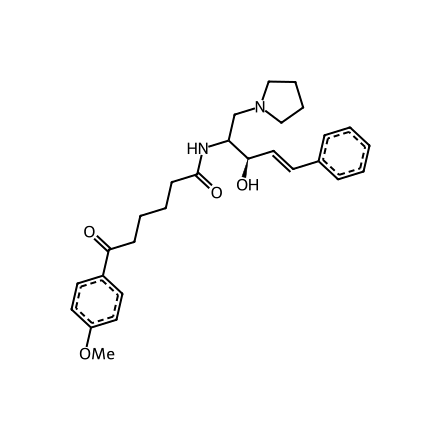 COc1ccc(C(=O)CCCCC(=O)NC(CN2CCCC2)[C@H](O)/C=C/c2ccccc2)cc1